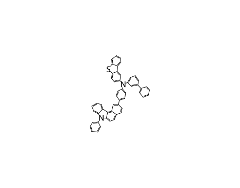 c1ccc(-c2cccc(N(c3ccc(-c4ccc5ccc6c(c5c4)c4ccccc4n6-c4ccccc4)cc3)c3ccc4sc5ccccc5c4c3)c2)cc1